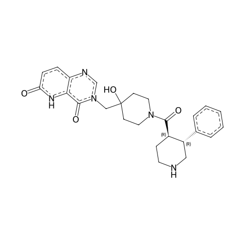 O=C([C@@H]1CCNC[C@H]1c1ccccc1)N1CCC(O)(Cn2cnc3ccc(=O)[nH]c3c2=O)CC1